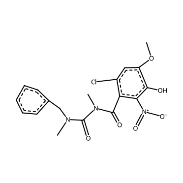 COc1cc(Cl)c(C(=O)N(C)C(=O)N(C)Cc2ccccc2)c([N+](=O)[O-])c1O